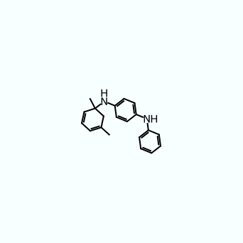 CC1=CC=CC(C)(Nc2ccc(Nc3ccccc3)cc2)C1